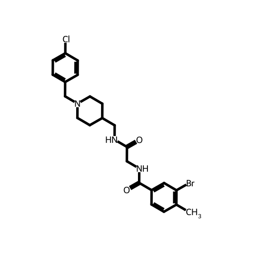 Cc1ccc(C(=O)NCC(=O)NCC2CCN(Cc3ccc(Cl)cc3)CC2)cc1Br